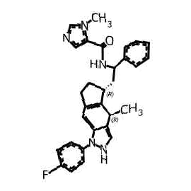 C[C@H]1C2=CNN(c3ccc(F)cc3)C2=CC2=C1[C@@H](CC(NC(=O)c1cncn1C)c1ccccc1)CC2